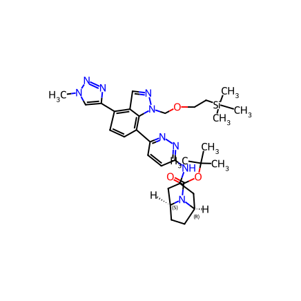 Cn1cc(-c2ccc(-c3ccc(NC4C[C@H]5CC[C@@H](C4)N5C(=O)OC(C)(C)C)nn3)c3c2cnn3COCC[Si](C)(C)C)nn1